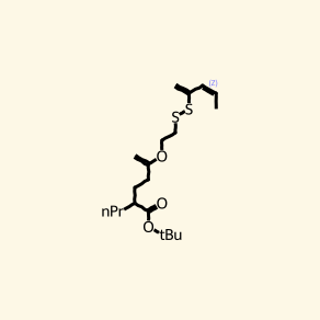 C=C(CCC(CCC)C(=O)OC(C)(C)C)OCCSSC(=C)/C=C\C